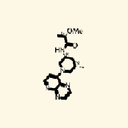 CO[C@@H](C)C(=O)N[C@@H]1C[C@H](C)CN(c2ccnc3nccnc23)C1